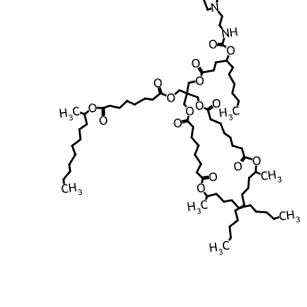 CCCCCCCCCC(C)OC(=O)CCCCCCC(=O)OCC(COC(=O)CCCCCCC(=O)OC(C)CCCCCCCCC)(COC(=O)CCCCCCC(=O)OC(C)CCCCCCCCC)COC(=O)CCC(CCCCCC)OC(=O)NCCN1CCCC1